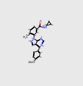 COc1ccc(-c2ncnc3c2cnn3-c2cc(C(=O)NC3CC3)ccc2C)cc1